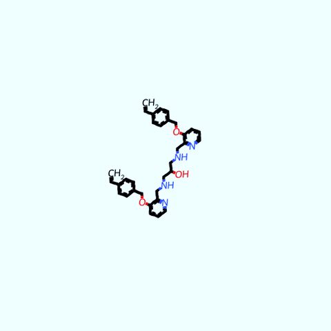 C=Cc1ccc(COc2cccnc2CNCC(O)CNCc2ncccc2OCc2ccc(C=C)cc2)cc1